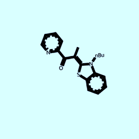 CCCCN1/C(=C(\C)C(=O)c2ccccn2)Sc2ccccc21